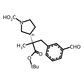 CC(C)(C)OC(=O)C(C)(Cc1cccc(C=O)c1)[C@H]1CCN(C(=O)O)C1